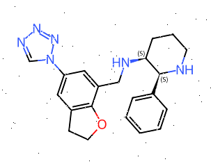 c1ccc([C@@H]2NCCC[C@@H]2NCc2cc(-n3cnnn3)cc3c2OCC3)cc1